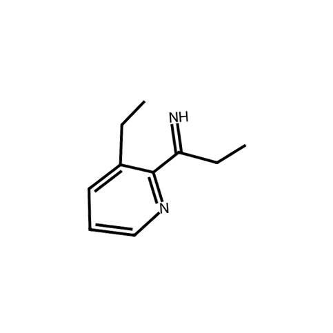 CCC(=N)c1ncccc1CC